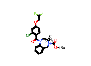 C[C@@H]1CN(C(=O)c2ccc(OCC(F)F)cc2Cl)c2ccccc2CN1C(=O)OC(C)(C)C